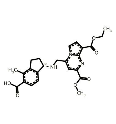 CCOC(=O)c1ccn2c(CN[C@H]3CCc4c3ccc(C(=O)O)c4C)cc(C(=O)OC)nc12